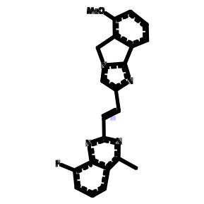 COc1cccc2c1Cn1cc(/C=C/c3nc(C)c4cccc(F)c4n3)nc1-2